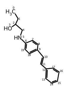 CCC(O)CNc1ccc(C=Cc2ccccc2)cc1